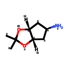 CC1(C)O[C@H]2C[C@H](N)C[C@H]2O1